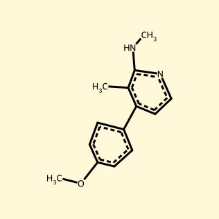 CNc1nccc(-c2ccc(OC)cc2)c1C